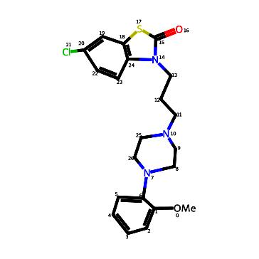 COc1ccccc1N1CCN(CCCn2c(=O)sc3cc(Cl)ccc32)CC1